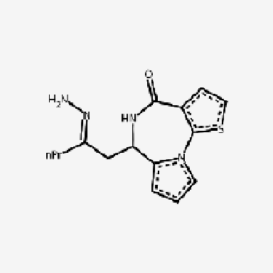 CCCC(CC1NC(=O)c2ccsc2-n2cccc21)=NN